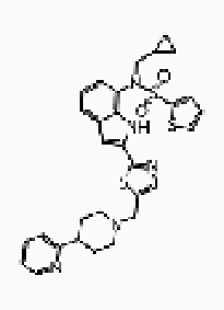 O=S(=O)(c1cccs1)N(CC1CC1)c1cccc2cc(-c3ncc(CN4CCC(c5ccccn5)CC4)s3)[nH]c12